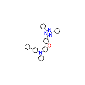 c1ccc(-c2ccc(N(c3ccccc3)c3ccc4oc5cc(-c6nc(-c7ccccc7)nc(-c7ccccc7)n6)ccc5c4c3)cc2)cc1